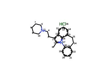 Cc1c(CCN2CCCCC2)c2cccc3c2n1-c1ccccc1CC3.Cl